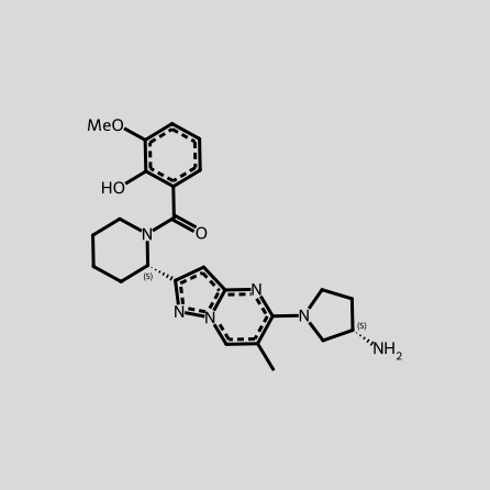 COc1cccc(C(=O)N2CCCC[C@H]2c2cc3nc(N4CC[C@H](N)C4)c(C)cn3n2)c1O